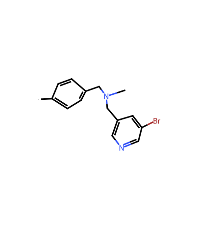 [CH2]c1ccc(CN(C)Cc2cncc(Br)c2)cc1